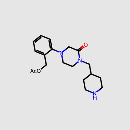 CC(=O)OCc1ccccc1N1CCN(CC2CCNCC2)C(=O)C1